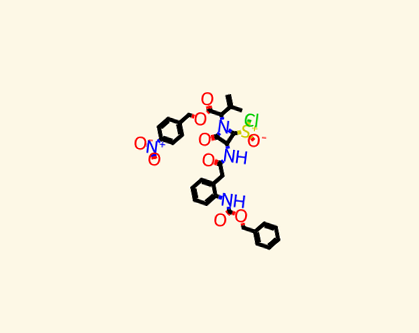 C=C(C)C(C(=O)OCc1ccc([N+](=O)[O-])cc1)N1C(=O)C(NC(=O)Cc2ccccc2NC(=O)OCc2ccccc2)C1[S+]([O-])Cl